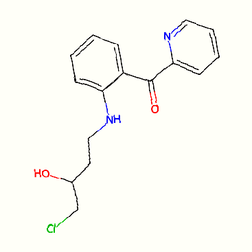 O=C(c1ccccn1)c1ccccc1NCCC(O)CCl